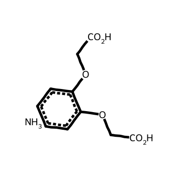 N.O=C(O)COc1ccccc1OCC(=O)O